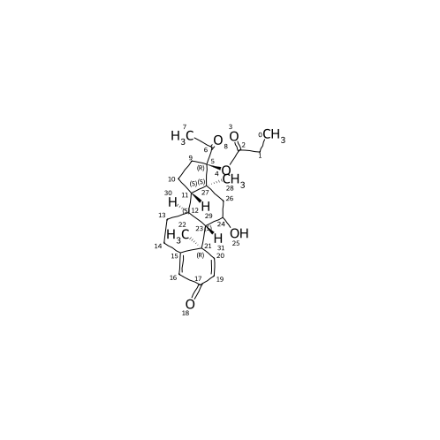 CCC(=O)O[C@]1(C(C)=O)CC[C@H]2[C@@H]3CCC4=CC(=O)C=C[C@]4(C)[C@H]3C(O)C[C@@]21C